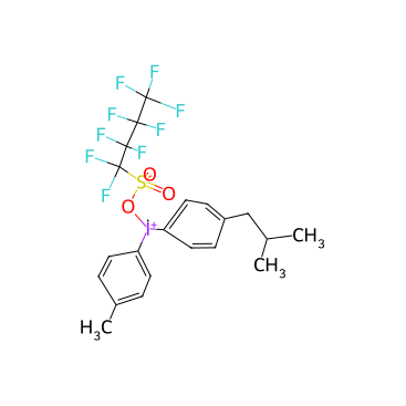 Cc1ccc([I+](OS(=O)(=O)C(F)(F)C(F)(F)C(F)(F)C(F)(F)F)c2ccc(CC(C)C)cc2)cc1